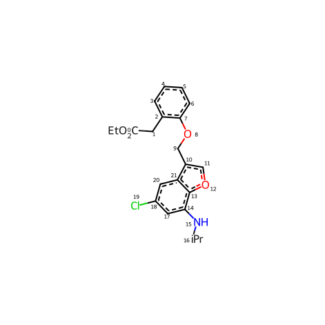 CCOC(=O)Cc1ccccc1OCc1coc2c(NC(C)C)cc(Cl)cc12